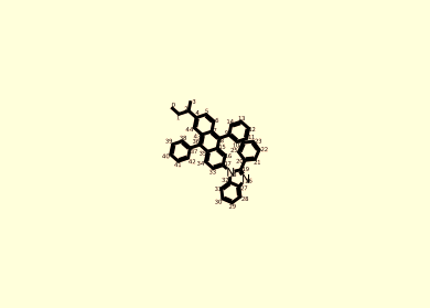 CCC(C)c1ccc2c(-c3ccccc3)c3cc(-n4c(-c5ccccc5)nc5ccccc54)ccc3c(-c3ccccc3)c2c1